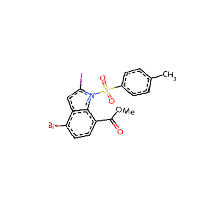 COC(=O)c1ccc(Br)c2cc(I)n(S(=O)(=O)c3ccc(C)cc3)c12